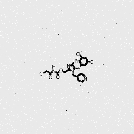 CC(C)c1nc(COC(=O)NC(=O)CCl)n(Cc2ccncc2)c1Sc1cc(Cl)cc(Cl)c1